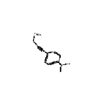 COCC#Cc1ccc(C(C)S)cc1